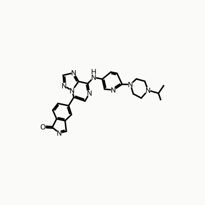 CC(C)N1CCN(c2ccc(Nc3ncc(-c4ccc5c(c4)C=NC5=O)n4ncnc34)cn2)CC1